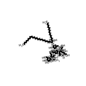 CCCCCCCC/C=C\CCCCCCCCCCCCCC(=O)N[C@@H](CO[C@@H]1OC(CO)[C@@H](O[C@@H]2OC(CO)[C@H](O[C@@H]3OC(CO)[C@H](O)[C@H](O[C@@H]4OC(CO)[C@H](O)[C@H](O)C4O)C3NC(C)=O)[C@H](O[C@]3(C(=O)O)CC(O)[C@@H](NC(=O)CO)C([C@H](O)[C@H](O)CO)O3)C2O)[C@H](O)C1O)[C@H](O)/C=C/CCCCCCCCCCCCC